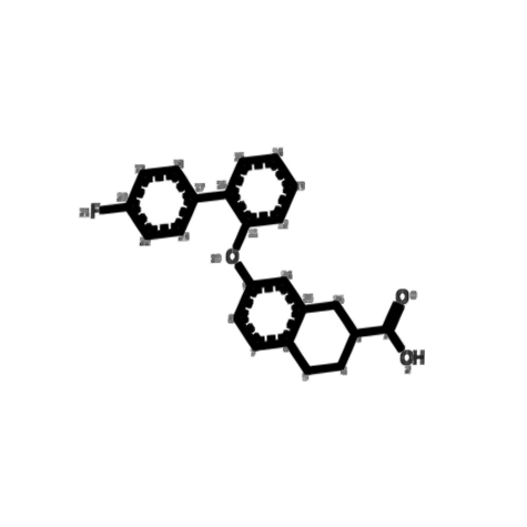 O=C(O)C1CCc2ccc(Oc3ccccc3-c3ccc(F)cc3)cc2C1